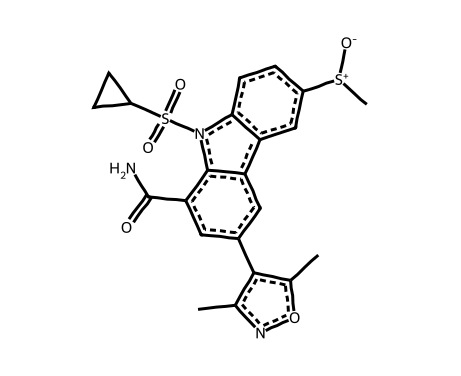 Cc1noc(C)c1-c1cc(C(N)=O)c2c(c1)c1cc([S+](C)[O-])ccc1n2S(=O)(=O)C1CC1